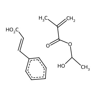 C=C(C)C(=O)OC(C)O.O=C(O)C=Cc1ccccc1